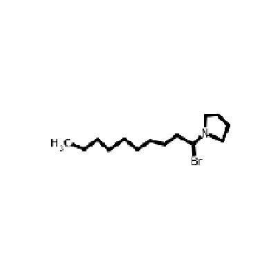 CCCCCCCCCC(Br)N1CCCC1